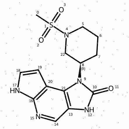 CS(=O)(=O)N1CCC[C@@H](n2c(=O)[nH]c3cnc4[nH]ccc4c32)C1